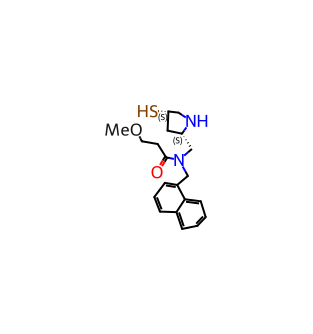 COCCC(=O)N(Cc1cccc2ccccc12)C[C@@H]1C[C@H](S)CN1